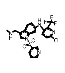 CNCc1cn(S(=O)(=O)c2cccnc2)c2cc(Nc3ccc(Cl)nc3C(F)(F)F)ccc12